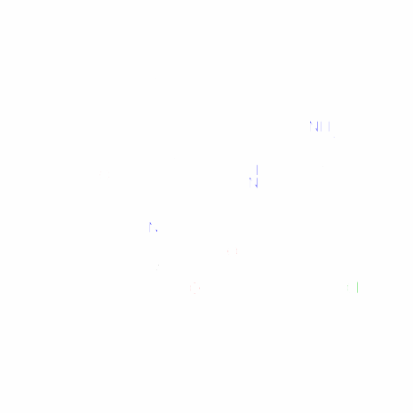 COc1ccccc1C(C(=O)Nc1cc(Cl)ccc1N)N1Cc2ccccc2C1=O